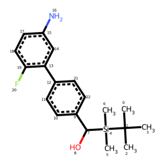 CC(C)(C)[Si](C)(C)C(O)c1ccc(-c2cc(N)ccc2F)cc1